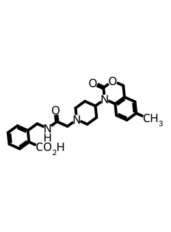 Cc1ccc2c(c1)COC(=O)N2C1CCN(CC(=O)NCc2ccccc2C(=O)O)CC1